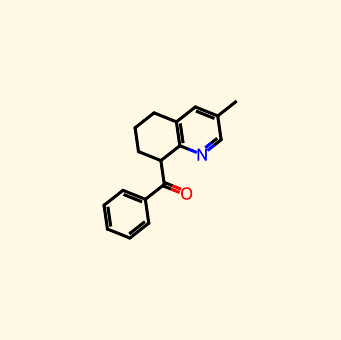 Cc1cnc2c(c1)CCCC2C(=O)c1ccccc1